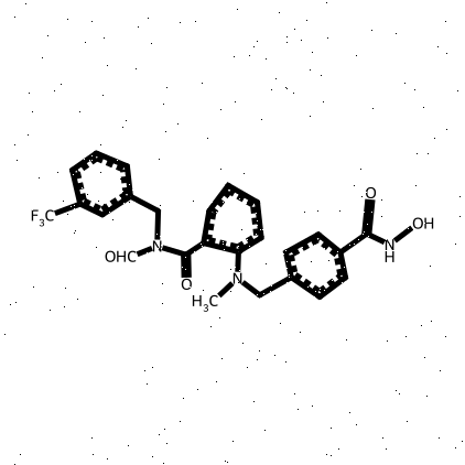 CN(Cc1ccc(C(=O)NO)cc1)c1ccccc1C(=O)N(C=O)Cc1cccc(C(F)(F)F)c1